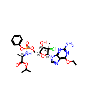 CCOc1nc(N)nc2c1ncn2[C@@H]1O[C@H](CO[P@](=O)(N[C@H](C)C(=O)OC(C)C)Oc2ccccc2)[C@@H](O)[C@@]1(C)Cl